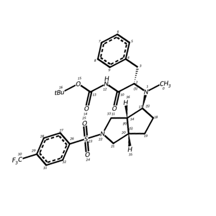 CN([C@@H](Cc1ccccc1)C(=O)NC(=O)OC(C)(C)C)[C@H]1CC[C@@H]2CN(S(=O)(=O)c3ccc(C(F)(F)F)cc3)C[C@@H]21